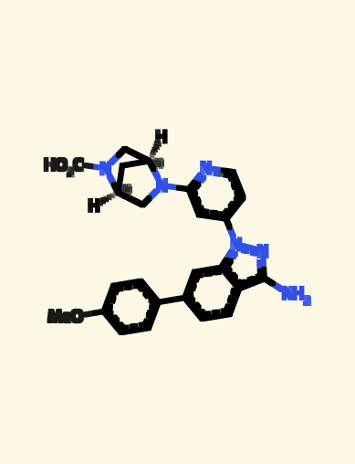 COc1ccc(-c2ccc3c(N)nn(-c4ccnc(N5C[C@@H]6C[C@H]5CN6C(=O)O)c4)c3c2)cc1